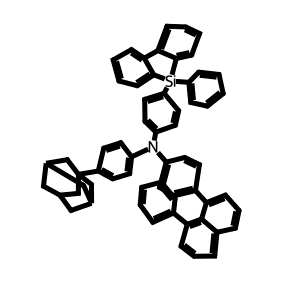 c1ccc(-c2cccc3cccc(-c4ccc(N(c5ccc(C67CC8CC(CC(C8)C6)C7)cc5)c5ccc([Si]6(c7ccccc7)c7ccccc7-c7ccccc76)cc5)cc4)c23)cc1